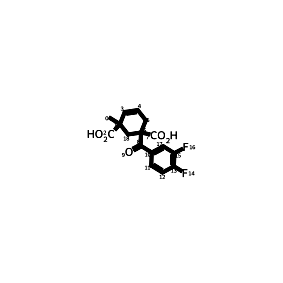 CC1(C(=O)O)C=CCC(C(=O)O)(C(=O)c2ccc(F)c(F)c2)C1